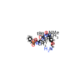 CN[C@H](C(=O)NC(C(=O)N(C)[C@H](/C=C(\C)C(=O)NS(=O)(=O)Cc1ccccc1)C(C)C)C(C)(C)C)C(C)(C)c1ccc(OCCN)cc1